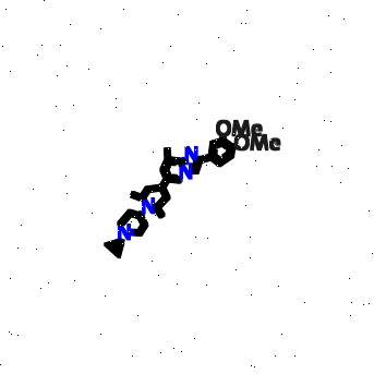 COc1ccc(-c2cn3cc(C4CC(C)N(C5CCN(C6CC6)CC5)C(C)C4)cc(C)c3n2)cc1OC